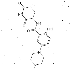 Cl.O=C1CCC(NC(=O)c2cc(N3CCNCC3)ccn2)C(=O)N1